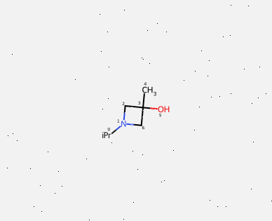 CC(C)N1CC(C)(O)C1